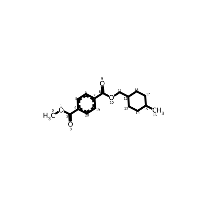 COC(=O)c1ccc(C(=O)OCC2CCC(C)CC2)cc1